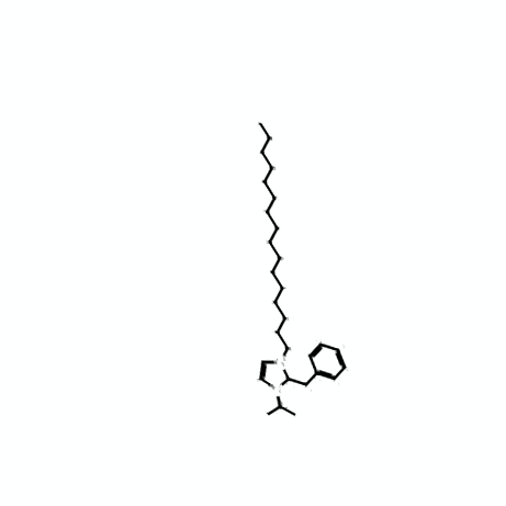 CCCCCCCCCCCCCCCCN1C=CN(C(C)C)C1Cc1ccccc1